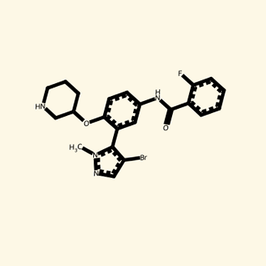 Cn1ncc(Br)c1-c1cc(NC(=O)c2ccccc2F)ccc1OC1CCCNC1